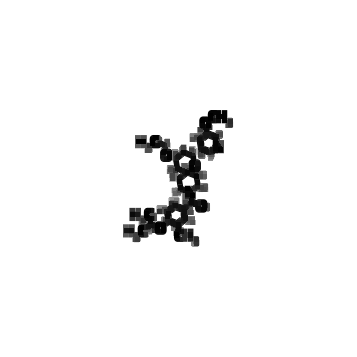 CCO[C@@H]1C[C@H](c2cncc(OC)c2)OC2(CCN(C(=O)c3ccc(OC(C)C)c(C)c3)CC2)C1